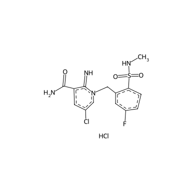 CNS(=O)(=O)c1ccc(F)cc1Cn1cc(Cl)cc(C(N)=O)c1=N.Cl